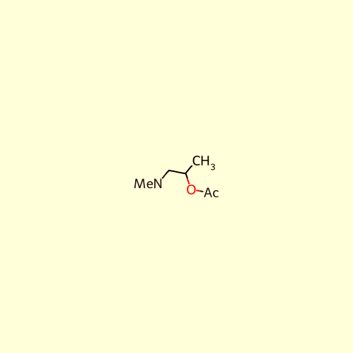 CNCC(C)OC(C)=O